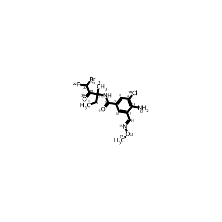 CCC(C)(NC(=O)c1cc(Cl)c(N)c(C=NOC)c1)C(=O)C(F)Br